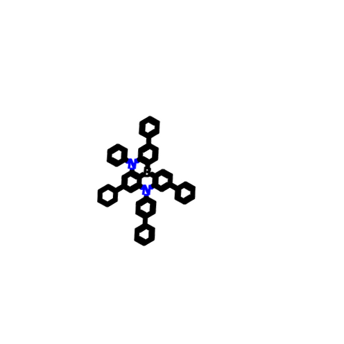 c1ccc(-c2ccc(N3c4cc(-c5ccccc5)ccc4B4c5ccc(-c6ccccc6)cc5N(c5ccccc5)c5cc(C6CCCCC6)cc3c54)cc2)cc1